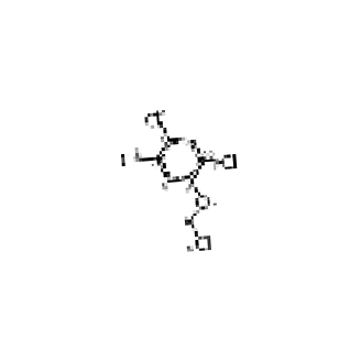 ClCOc1cc(Cl)c(Cl)cc1Cl